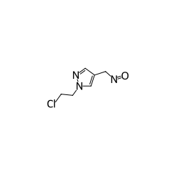 O=NCc1cnn(CCCl)c1